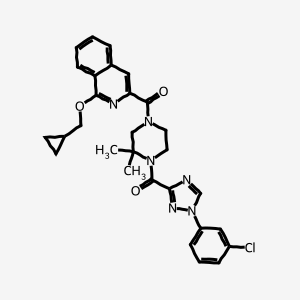 CC1(C)CN(C(=O)c2cc3ccccc3c(OCC3CC3)n2)CCN1C(=O)c1ncn(-c2cccc(Cl)c2)n1